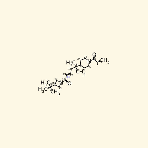 C=CC(=O)N1CCC(C(C)(C)C/C=C/C(=O)N2CC(C(C)(C)C)C2)CC1